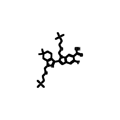 CC1(C)CCc2c(-c3cc4cc(F)c(C(=O)O)cc4n3COCC[Si](C)(C)C)nn(COCC[Si](C)(C)C)c2C1